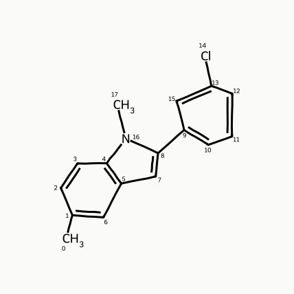 Cc1ccc2c(c1)cc(-c1cccc(Cl)c1)n2C